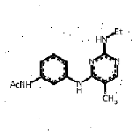 CCNc1ncc(C)c(Nc2cccc(NC(C)=O)c2)n1